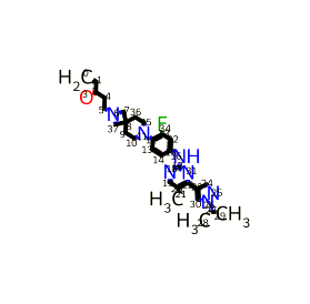 C=CC(=O)CCN1CC2(CCN(c3ccc(Nc4ncc(C)c(-c5cnn(C(C)C)c5)n4)cc3F)CC2)C1